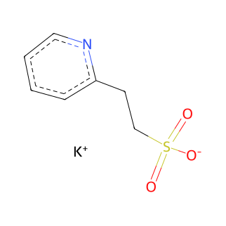 O=S(=O)([O-])CCc1ccccn1.[K+]